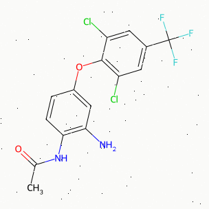 CC(=O)Nc1ccc(Oc2c(Cl)cc(C(F)(F)F)cc2Cl)cc1N